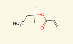 C=CC(=O)OC(C)(C)CC(=O)O